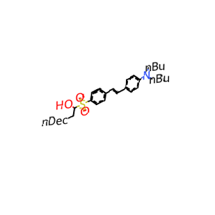 CCCCCCCCCCCC(O)S(=O)(=O)c1ccc(C=Cc2ccc(N(CCCC)CCCC)cc2)cc1